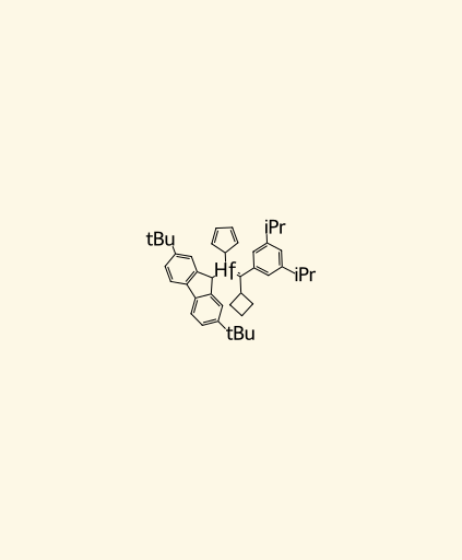 CC(C)c1cc([C](C2CCC2)=[Hf]([CH]2C=CC=C2)[CH]2c3cc(C(C)(C)C)ccc3-c3ccc(C(C)(C)C)cc32)cc(C(C)C)c1